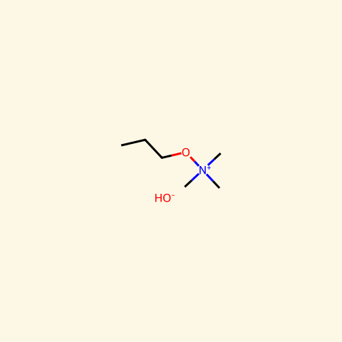 CCCO[N+](C)(C)C.[OH-]